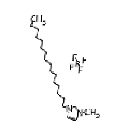 CCCCCCCCCCCCCCCCN1C=CN(C)C1.F[B-](F)(F)F